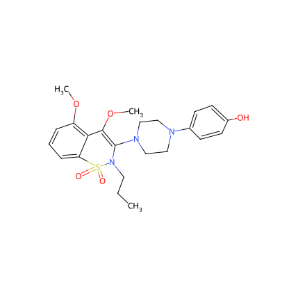 CCCN1C(N2CCN(c3ccc(O)cc3)CC2)=C(OC)c2c(OC)cccc2S1(=O)=O